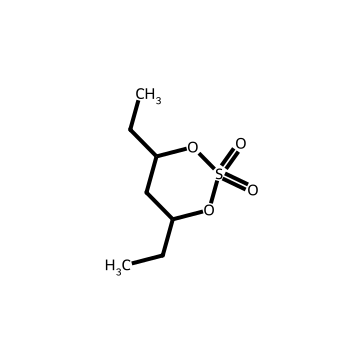 CCC1CC(CC)OS(=O)(=O)O1